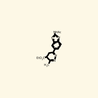 CCOC(=O)C1CC(c2ccc3nc(NC(C)=O)sc3c2)=NN=C1C